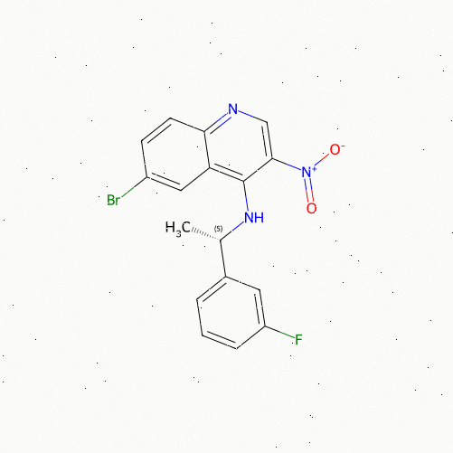 C[C@H](Nc1c([N+](=O)[O-])cnc2ccc(Br)cc12)c1cccc(F)c1